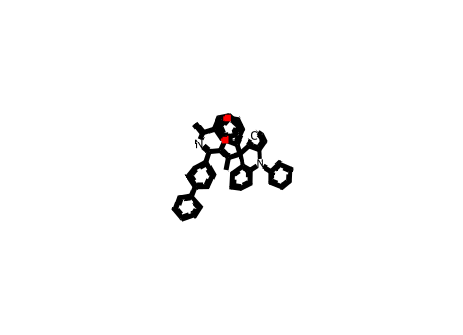 C=C(/N=C(\C1=C(C)C2(c3ccccc31)c1ccccc1N(c1ccccc1)c1ccccc12)c1ccc(-c2ccccc2)cc1)c1ccccc1